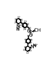 C#CP(OCc1ccc(C2C=CC=CC2=[N+]=[N-])cc1)OCc1ccc(C2C=CC=CC2=[N+]=[N-])cc1